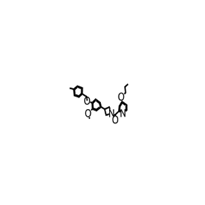 CCCOc1ccnc(C(=O)N2CC(c3ccc(OCc4ccc(C)cc4)c(OC)c3)C2)c1